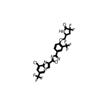 O=C1NC(COc2ccc(-c3noc(-c4cn5cc(C(F)(F)F)cc(Cl)c5n4)n3)cc2C(F)(F)F)CC1(F)F